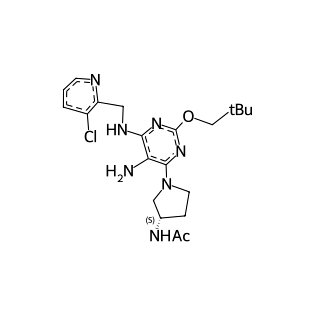 CC(=O)N[C@H]1CCN(c2nc(OCC(C)(C)C)nc(NCc3ncccc3Cl)c2N)C1